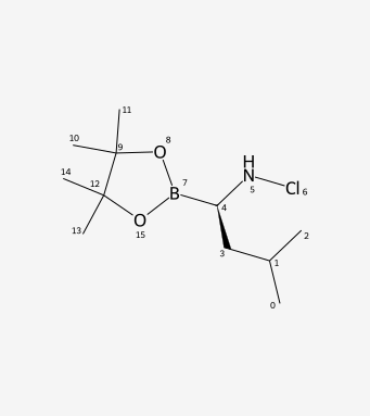 CC(C)C[C@H](NCl)B1OC(C)(C)C(C)(C)O1